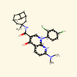 CCCCN(C)c1ccc2c(=O)c(C(=O)NC3(C)CC4CC5CC(C3)C5C4)cn(-c3ccc(F)cc3F)c2n1